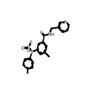 Cc1ccc(N(c2cc(C)cc(C(=O)NCc3cccnc3)c2)[SH](=O)=O)cc1